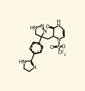 O=C1NC=CN(S(=O)(=O)C(F)(F)F)C1CC1(c2ccc(C3=NCCN3)cc2)CNN=N1